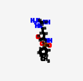 Cc1ccc(S(=O)(=O)NC([C]=O)CCCNC(=N)N)cc1